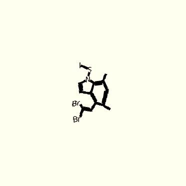 Cc1cc(C)c2c(ccn2SI)c1C=C(Br)Br